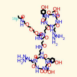 CC([18F])C(=O)NCCOCCOCCOCC(=O)N[C@@H](CCC(=O)NCCCC[C@@H]1NC(=O)[C@@H](Cc2ccc(O)cc2)NC(=O)[C@H](CC(=O)O)NC(=O)CNC(=O)[C@H](CCCN=C(N)N)NC1=O)C(=O)NCCCC[C@@H]1NC(=O)[C@@H](Cc2ccc(O)cc2)NC(=O)[C@H](CC(=O)O)NC(=O)CNC(=O)[C@H](CCCN=C(N)N)NC1=O